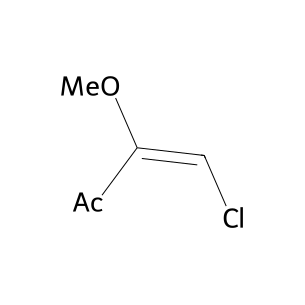 COC(=CCl)C(C)=O